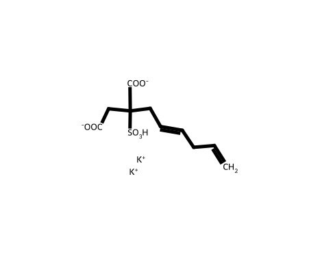 C=CCC=CCC(CC(=O)[O-])(C(=O)[O-])S(=O)(=O)O.[K+].[K+]